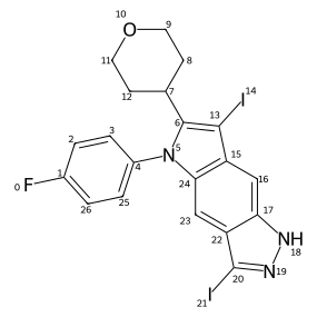 Fc1ccc(-n2c(C3CCOCC3)c(I)c3cc4[nH]nc(I)c4cc32)cc1